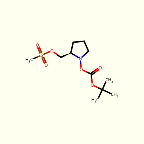 CC(C)(C)OC(=O)ON1CCC[C@@H]1COS(C)(=O)=O